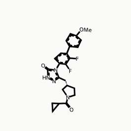 COc1ccc(-c2ccc(-n3c(C[C@@H]4CCN(C(=O)C5CC5)C4)n[nH]c3=O)c(F)c2F)cc1